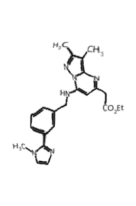 CCOC(=O)Cc1cc(NCc2cccc(-c3nccn3C)c2)n2nc(C)c(C)c2n1